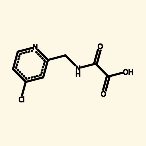 O=C(O)C(=O)NCc1cc(Cl)ccn1